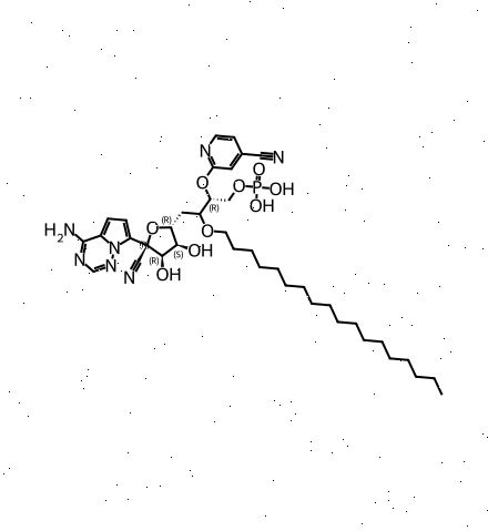 CCCCCCCCCCCCCCCCCCOC(C[C@H]1O[C@@](C#N)(c2ccc3c(N)ncnn23)[C@H](O)[C@@H]1O)[C@@H](COP(=O)(O)O)Oc1cc(C#N)ccn1